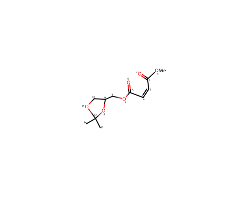 COC(=O)/C=C\C(=O)OCC1COC(C)(C)O1